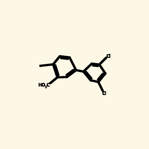 Cc1ccc(-c2cc(Cl)cc(Cl)c2)cc1C(=O)O